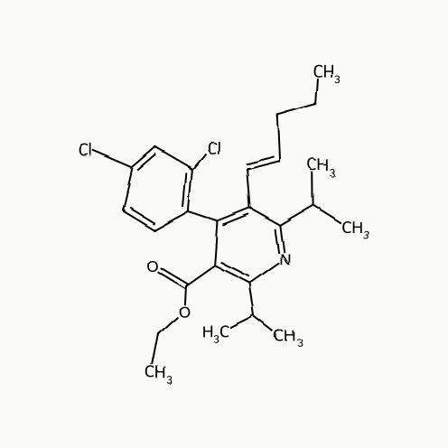 CCCC=Cc1c(C(C)C)nc(C(C)C)c(C(=O)OCC)c1-c1ccc(Cl)cc1Cl